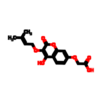 CC(C)=CCOc1c(O)c2ccc(OCC(=O)O)cc2oc1=O